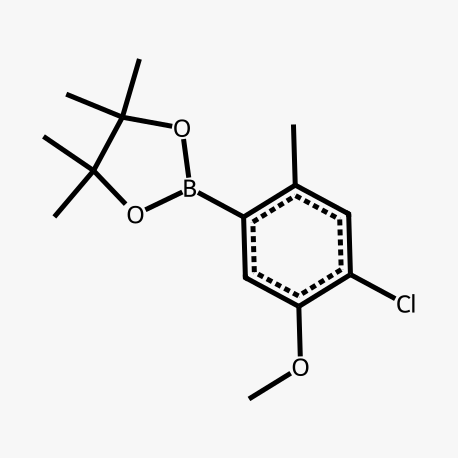 COc1cc(B2OC(C)(C)C(C)(C)O2)c(C)cc1Cl